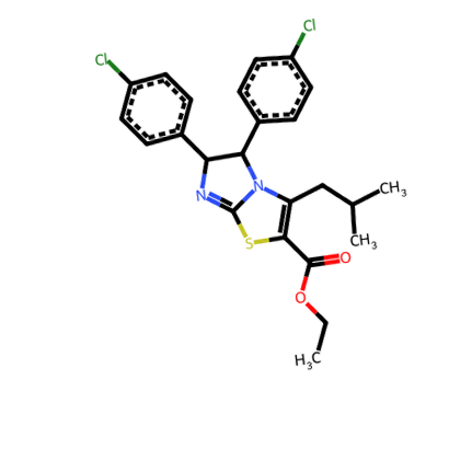 CCOC(=O)C1=C(CC(C)C)N2C(=NC(c3ccc(Cl)cc3)C2c2ccc(Cl)cc2)S1